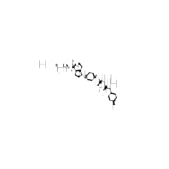 O=C(O)Nc1nccc2c1ccn2-c1ccc(NC(=S)NC(=O)Cc2ccc(F)cc2)cc1